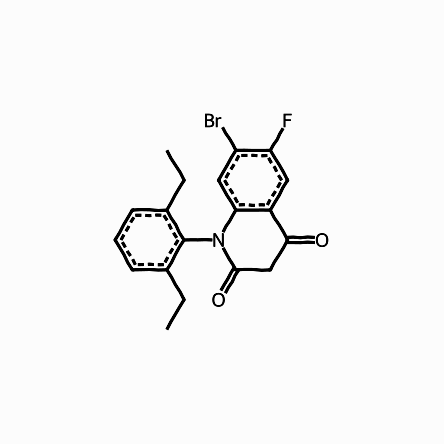 CCc1cccc(CC)c1N1C(=O)CC(=O)c2cc(F)c(Br)cc21